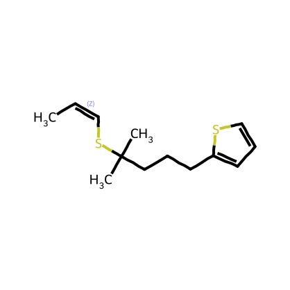 C/C=C\SC(C)(C)CCCc1cccs1